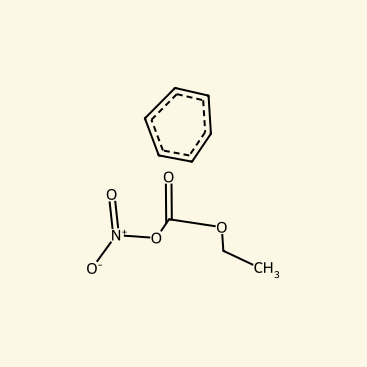 CCOC(=O)O[N+](=O)[O-].c1ccccc1